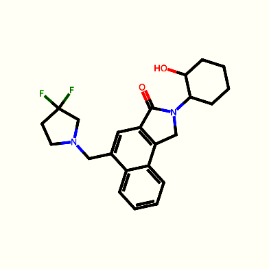 O=C1c2cc(CN3CCC(F)(F)C3)c3ccccc3c2CN1C1CCCCC1O